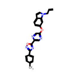 C=CCn1[c]cc2ccc(Oc3cnc(-c4nc(-c5ccc(C(F)(F)F)cc5)no4)cn3)cc21